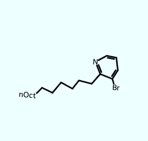 CCCCCCCCCCCCCCc1ncccc1Br